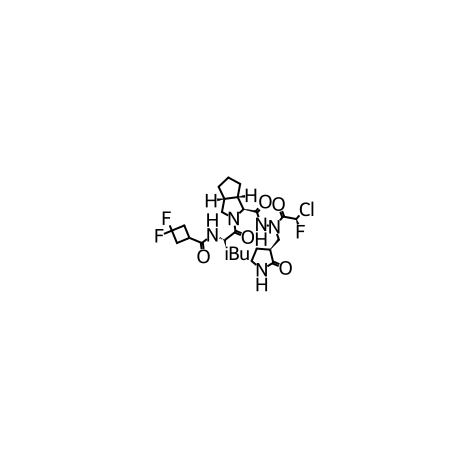 CC[C@H](C)[C@H](NC(=O)C1CC(F)(F)C1)C(=O)N1C[C@@H]2CCC[C@@H]2[C@H]1C(=O)NN(C[C@@H]1CCNC1=O)C(=O)[C@H](F)Cl